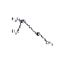 C=C/C=C(\C=C/NCCCCCCCCCCCC[N+]1=CCC(CCCCCCCC)C=C1)CCCCCCCC